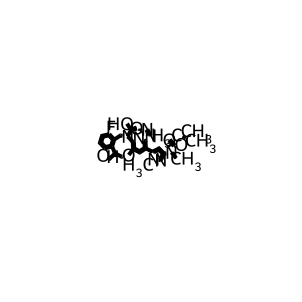 CN(C(=O)OC(C)(C)C)c1cc(-c2cc3c(n4cnnc24)N(C(=O)O)Cc2c(F)ccc4c2[C@@H](CO4)CO3)n(C)n1